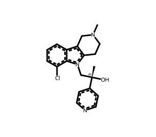 CN1CCc2c(c3cccc(Cl)c3n2C[C@](C)(O)c2ccncc2)C1